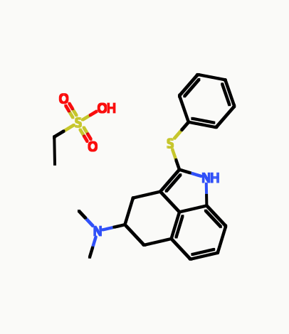 CCS(=O)(=O)O.CN(C)C1Cc2cccc3[nH]c(Sc4ccccc4)c(c23)C1